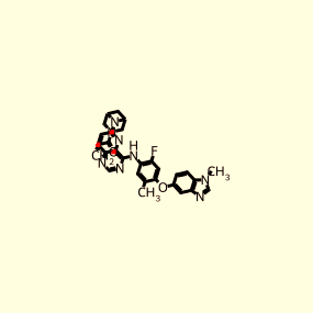 C=CC(=O)N1CC2CC(C1)N2c1ccc2ncnc(Nc3cc(C)c(Oc4ccc5c(c4)ncn5C)cc3F)c2n1